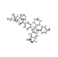 CC(C)(CS(C)(=O)=O)NC(=O)c1ccc(-c2c(C3CCOCC3)n(-c3ccc(F)cc3)c3cc4cn[nH]c4cc23)cc1